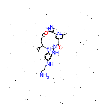 Cc1cc2cc(n1)-c1cnn(C)c1OCCCC(C1CC1)CN1/C(=N/C2=O)Nc2cc(NCCCN)ccc21